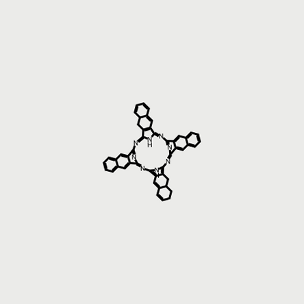 C1=CC2=Cc3c(c4nc5nc(nc6[nH]c(nc7nc(nc3[nH]4)-c3cc4ccccc4cc3-7)c3c6C=C4C=CCCC4C3)-c3cc4ccccc4cc3-5)CC2C=C1